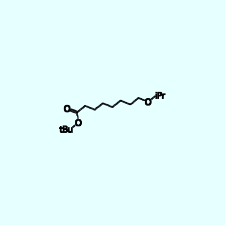 CC(C)OCCCCCCCC(=O)OC(C)(C)C